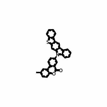 Cc1ccc2oc(=O)c3cc(-n4c5ccccc5c5cc6c(cc54)sc4ccccc46)ccc3c2c1